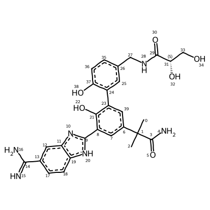 CC(C)(C(N)=O)c1cc(-c2nc3cc(C(=N)N)ccc3[nH]2)c(O)c(-c2cc(CNC(=O)[C@@H](O)CO)ccc2O)c1